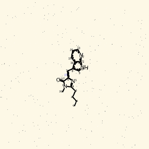 CCCCC1=N/C(=C\c2c[nH]c3ncccc23)C(=O)N1C